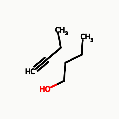 C#CCC.CCCCO